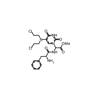 COC(=O)C(NC(=O)[C@@H](N)Cc1ccccc1)n1cc(N(CCCl)CCCl)c(=O)[nH]c1=O